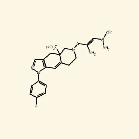 CCCN(N)/C=C(\N)SN1CCC2=Cc3c(cnn3-c3ccc(F)cc3)CC2(C(=O)O)C1